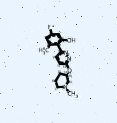 Cc1cc(F)cc(O)c1-c1ccc(O[C@@H]2CCCN(C)C2)nn1